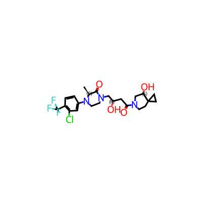 C[C@H]1C(=O)N(C[C@H](O)CC(=O)N2CCC3(CC3)[C@H](O)C2)CCN1c1ccc(C(F)(F)F)c(Cl)c1